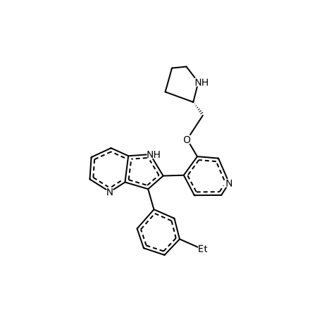 CCc1cccc(-c2c(-c3ccncc3OC[C@@H]3CCCN3)[nH]c3cccnc23)c1